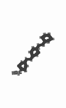 O=C(O)c1ccc(CCc2ccc(CCc3ccccc3)cc2)cc1